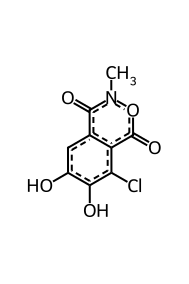 Cn1oc(=O)c2c(Cl)c(O)c(O)cc2c1=O